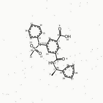 C[C@@H](NC(=O)c1cc(C(=O)O)cc(N(c2ccccc2)S(C)(=O)=O)c1)c1ccccc1